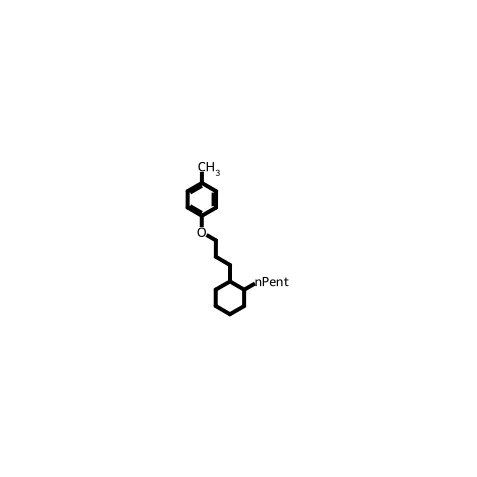 CCCCCC1CCCCC1CCCOc1ccc(C)cc1